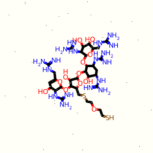 N=C(N)NCC1=CC(O)C(NC(=N)N)C(OC2C(CSCCOCCS)OC(OC3C(O)C(NC(=N)N)CC(NC(=N)N)C3OC3OC(CNC(=N)N)C(O)C(O)C3NC(=N)N)C2O)O1